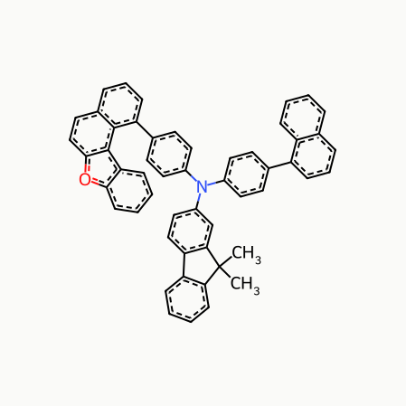 CC1(C)c2ccccc2-c2ccc(N(c3ccc(-c4cccc5ccccc45)cc3)c3ccc(-c4cccc5ccc6oc7ccccc7c6c45)cc3)cc21